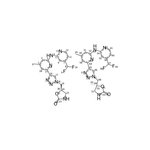 Cc1cc(Nc2cc(C(F)F)ccn2)nc(-c2cn(C[C@H]3CNC(=O)O3)nn2)c1.Cc1cc(Nc2cc(C(F)F)ccn2)nc(-c2cn(C[C@]3(C)CNC(=O)O3)nn2)c1